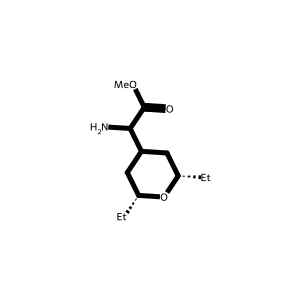 CC[C@@H]1CC(C(N)C(=O)OC)C[C@H](CC)O1